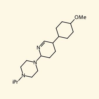 COC1CCC(C2C=NC(N3CCN(C(C)C)CC3)CC2)CC1